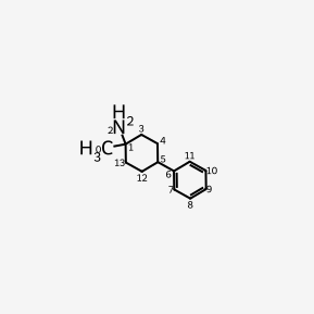 CC1(N)CCC(c2ccccc2)CC1